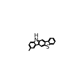 Cc1ccc2[nH]c3cc4c(cc3c2c1)sc1ccccc14